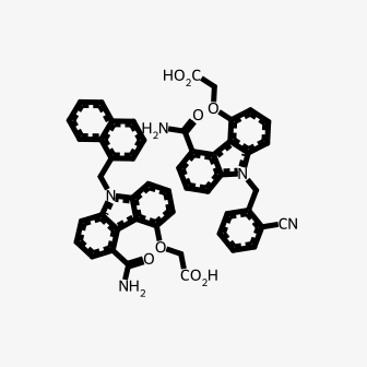 N#Cc1ccccc1Cn1c2cccc(OCC(=O)O)c2c2c(C(N)=O)cccc21.NC(=O)c1cccc2c1c1c(OCC(=O)O)cccc1n2Cc1cccc2ccccc12